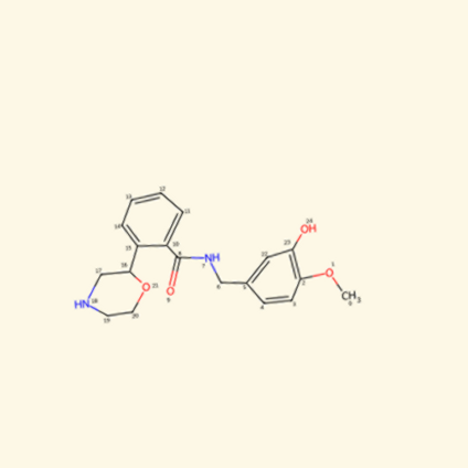 COc1ccc(CNC(=O)c2ccccc2C2CNCCO2)cc1O